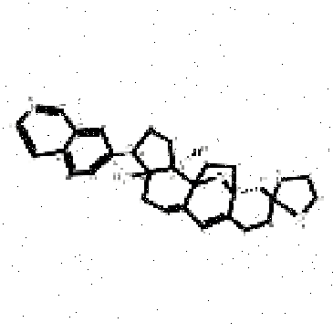 C[C@]12CC=C3C=C4CCC5(C[C@]46CCC3(O6)[C@@H]1CC[C@@H]2c1ccc2ccncc2c1)OCCO5